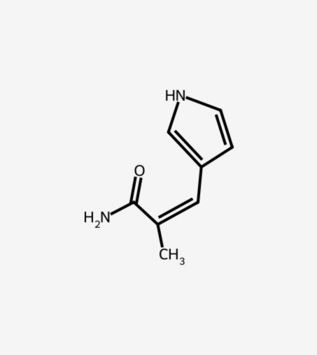 CC(=Cc1cc[nH]c1)C(N)=O